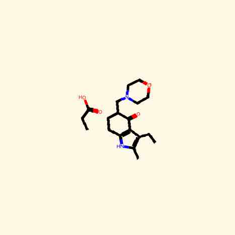 CCC(=O)O.CCc1c(C)[nH]c2c1C(=O)C(CN1CCOCC1)CC2